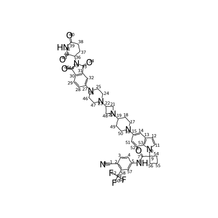 N#Cc1ccc(NC(=O)C2(n3ccc4cc(N5CCC(N6CC(N7CCN(c8ccc9c(c8)C(=O)N(C8CCC(=O)NC8=O)C9=O)CC7)C6)CC5)ccc43)CCC2)cc1C(F)(F)F